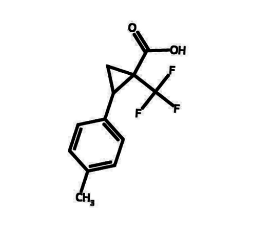 Cc1ccc(C2CC2(C(=O)O)C(F)(F)F)cc1